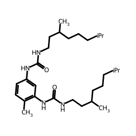 Cc1ccc(NC(=O)NCCC(C)CCCC(C)C)cc1NC(=O)NCCC(C)CCCC(C)C